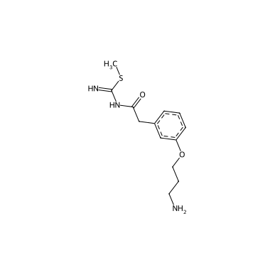 CSC(=N)NC(=O)Cc1cccc(OCCCN)c1